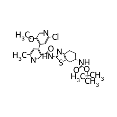 COc1cnc(Cl)cc1-c1cc(C)ncc1C(=O)Nc1nc2c(s1)C[C@@H](NC(=O)OC(C)(C)C)CC2